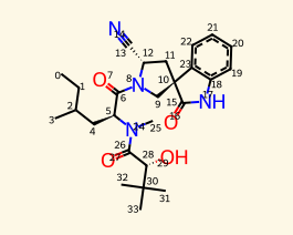 CCC(C)C[C@@H](C(=O)N1C[C@]2(C[C@H]1C#N)C(=O)Nc1ccccc12)N(C)C(=O)[C@H](O)C(C)(C)C